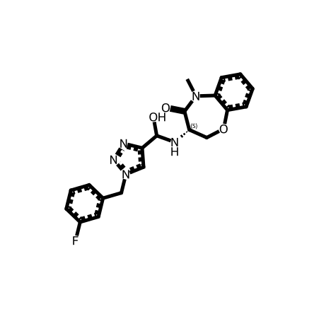 CN1C(=O)[C@@H](NC(O)c2cn(Cc3cccc(F)c3)nn2)COc2ccccc21